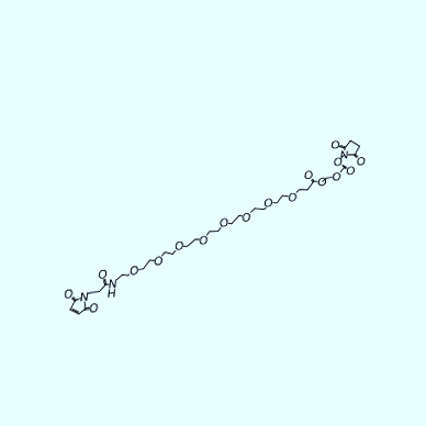 O=C(CCN1C(=O)C=CC1=O)NCCOCCOCCOCCOCCOCCOCCOCCOCCC(=O)OCOC(=O)ON1C(=O)CCC1=O